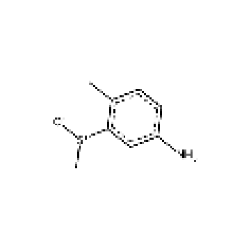 Cc1ccc(N)cc1[S+](C)[O-]